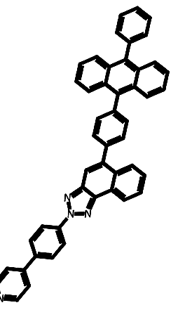 c1ccc(-c2c3ccccc3c(-c3ccc(-c4cc5nn(-c6ccc(-c7ccncc7)cc6)nc5c5ccccc45)cc3)c3ccccc23)cc1